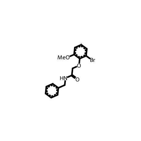 COc1c[c]cc(Br)c1OCC(=O)NCc1ccccc1